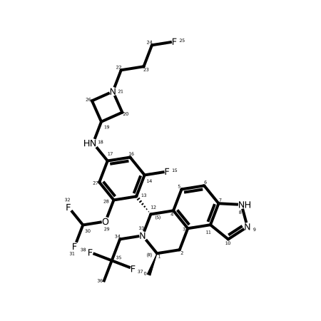 C[C@@H]1Cc2c(ccc3[nH]ncc23)[C@@H](c2c(F)cc(NC3CN(CCCF)C3)cc2OC(F)F)N1CC(C)(F)F